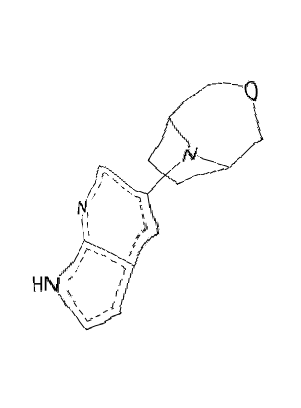 c1cc2cc(N3C4CCC3COC4)cnc2[nH]1